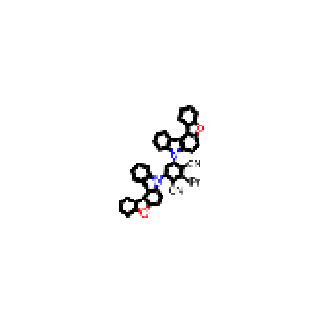 CC(C)c1c(C#N)c(-n2c3ccccc3c3c4c(ccc32)oc2ccccc24)cc(-n2c3ccccc3c3c4c(ccc32)oc2ccccc24)c1C#N